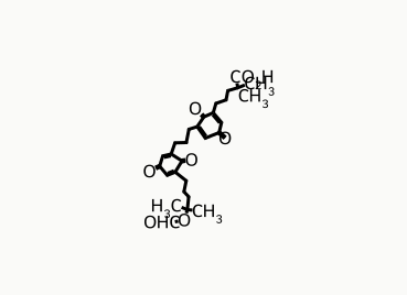 CC(C)(CCCC1=CC(=O)C=C(CCCC2=CC(=O)C=C(CCCC(C)(C)C(=O)O)C2=O)C1=O)OC=O